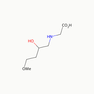 COCCC(O)CNCC(=O)O